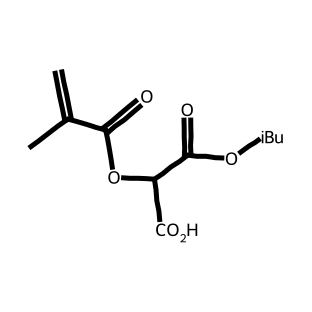 C=C(C)C(=O)OC(C(=O)O)C(=O)OC(C)CC